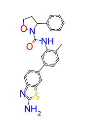 Cc1ccc(-c2ccc3nc(N)sc3c2)cc1NC(=O)N1OCCC1c1ccccc1